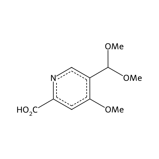 COc1cc(C(=O)O)ncc1C(OC)OC